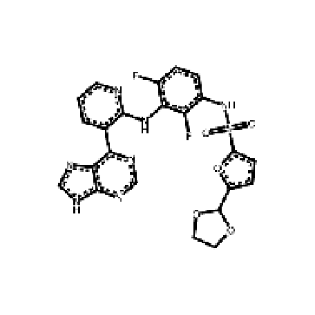 O=S(=O)(Nc1ccc(F)c(Nc2ncccc2-c2ncnc3[nH]cnc23)c1F)c1ccc(C2OCCO2)o1